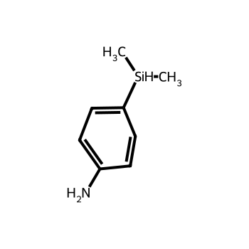 C[SiH](C)c1ccc(N)cc1